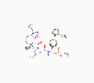 COC(=O)C[C@H](NC(=O)[C@@H]1C[C@@H](O)CN1C(=O)[C@H]1c2onc(C3CC3)c2CCCC1(C)C)c1ccc(-c2scnc2C)cc1